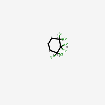 ClC1(Br)CCCC(Br)(Br)C1(Br)Br